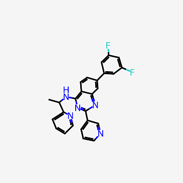 CC(Nc1nc(-c2cccnc2)nc2cc(-c3cc(F)cc(F)c3)ccc12)c1ccccn1